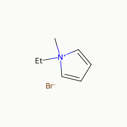 CC[N+]1(C)C=CC=C1.[Br-]